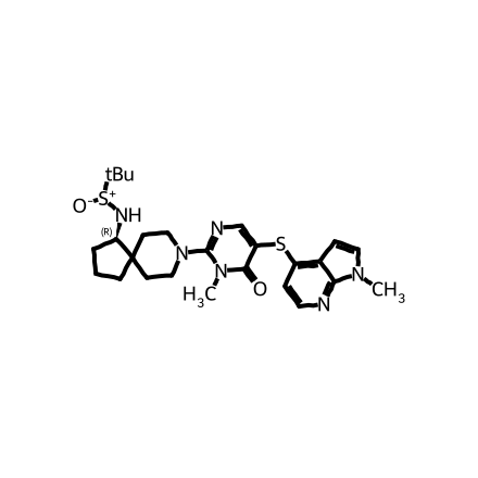 Cn1c(N2CCC3(CCC[C@H]3N[S+]([O-])C(C)(C)C)CC2)ncc(Sc2ccnc3c2ccn3C)c1=O